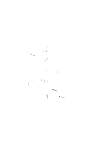 CC(CC1=CCC(=O)C=C1)NCC(O)C1=CC(=O)CC(=O)C1